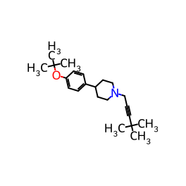 CC(C)(C)C#CCN1CCC(c2ccc(OC(C)(C)C)cc2)CC1